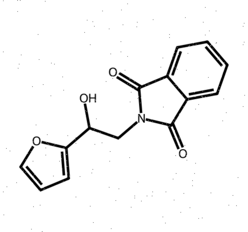 O=C1c2ccccc2C(=O)N1CC(O)c1ccco1